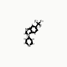 FC(F)(F)c1ccc2c(c1)ncn2-c1ccncc1